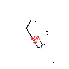 CCCCC/C=C\C/C=C\C/C=C\CCCCC(=O)O[C@H](COC(=O)CCCCCCCCC/C=C\CCCCCCCC)COP(=O)(O)O